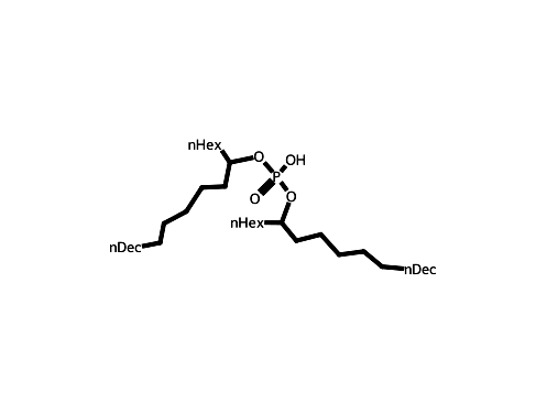 CCCCCCCCCCCCCCCC(CCCCCC)OP(=O)(O)OC(CCCCCC)CCCCCCCCCCCCCCC